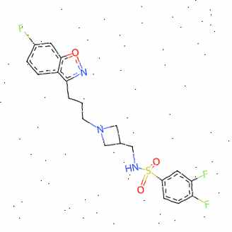 O=S(=O)(NCC1CN(CCCc2noc3cc(F)ccc23)C1)c1ccc(F)c(F)c1